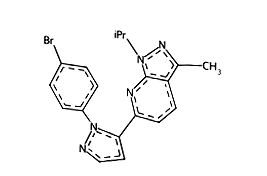 Cc1nn(C(C)C)c2nc(-c3ccnn3-c3ccc(Br)cc3)ccc12